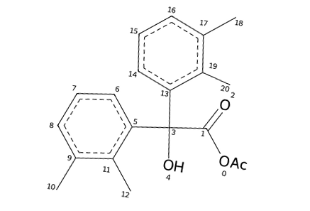 CC(=O)OC(=O)C(O)(c1cccc(C)c1C)c1cccc(C)c1C